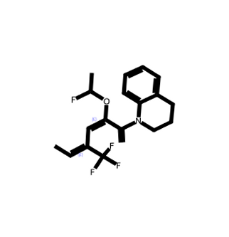 C=C(/C(=C\C(=C/C)C(F)(F)F)OC(C)F)N1CCCc2ccccc21